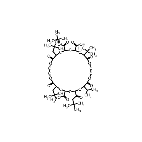 CC(C)C1CC(C(=O)CC(C)(C)C)CC(C(=O)O)CC(CC(C)(C)C)C(=O)OCCOC(=O)C(CC(C)(C)C)CC(C(=O)OC(C)(C)C)CC(C(=O)O)CC(C(C)(C)C)C(=O)OCCOC1=O